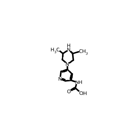 CC1CN(c2cncc(NC(=O)O)c2)CC(C)N1